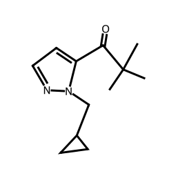 CC(C)(C)C(=O)c1ccnn1CC1CC1